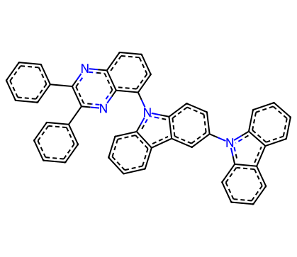 c1ccc(-c2nc3cccc(-n4c5ccccc5c5cc(-n6c7ccccc7c7ccccc76)ccc54)c3nc2-c2ccccc2)cc1